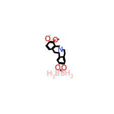 BC1(B)Oc2cc3c(cc2O1)C1Cc2ccc(OC)c(OC)c2CN1CC3